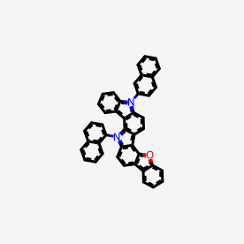 c1ccc2cc(-n3c4ccccc4c4c3ccc3c5c6oc7ccccc7c6ccc5n(-c5cccc6ccccc56)c34)ccc2c1